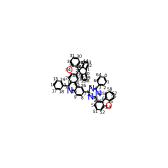 c1ccc(-c2nc(-c3ccc4nc(-c5ccccc5)c5cc6c(cc5c4c3)C3(c4ccccc4O6)c4ccccc4-c4ccccc43)nc(-c3cccc4oc5ccccc5c34)n2)cc1